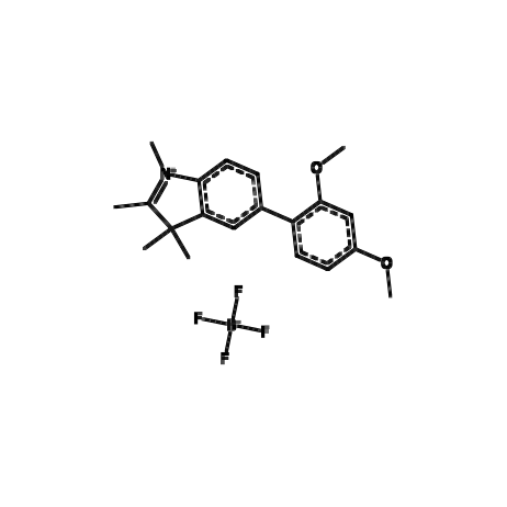 COc1ccc(-c2ccc3c(c2)C(C)(C)C(C)=[N+]3C)c(OC)c1.F[B-](F)(F)F